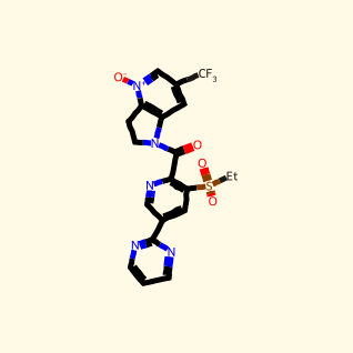 CCS(=O)(=O)c1cc(-c2ncccn2)cnc1C(=O)N1CCc2c1cc(C(F)(F)F)c[n+]2[O-]